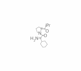 CC(C)C(=O)[C@@H]1CCCN1C(=O)[C@@H](N)C1CCCCC1